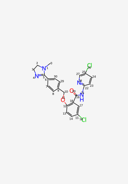 CN1CCN=C1c1ccc(COc2ccc(Cl)cc2C(=O)Nc2ccc(Cl)cn2)cc1